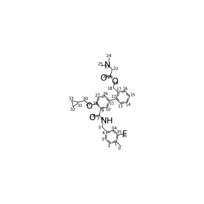 Cc1ccc(CNC(=O)c2cc(-c3ccccc3COC(=O)CN(C)C)ccc2OCC2CC2)cc1F